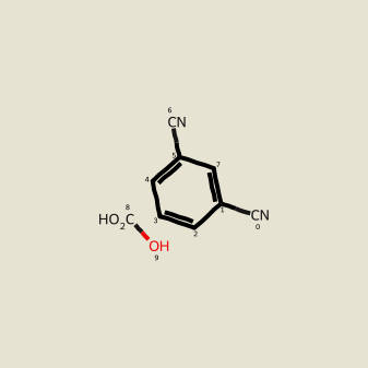 N#Cc1cccc(C#N)c1.O=C(O)O